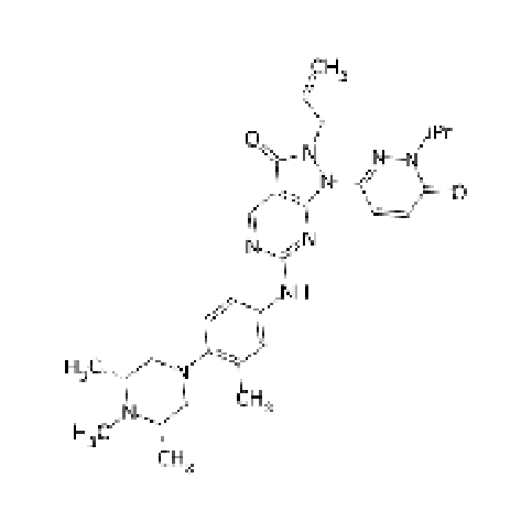 C=CCn1c(=O)c2cnc(Nc3ccc(N4C[C@@H](C)N(C)[C@@H](C)C4)c(C)c3)nc2n1-c1ccc(=O)n(C(C)C)n1